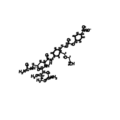 C#CCOCc1cc(NC(=O)[C@H](CCCNC(N)=O)NC(=O)[C@@H](OC(N)=O)C(C)C)ccc1COC(=O)Oc1ccc([N+](=O)[O-])cc1